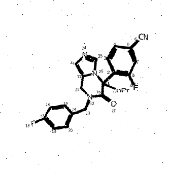 CCCC1(c2ccc(C#N)cc2F)C(=O)N(Cc2ccc(F)cc2)Cc2cncn21